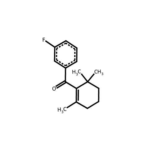 CC1=C(C(=O)c2cccc(F)c2)C(C)(C)CCC1